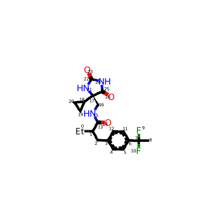 CCC(Cc1ccc(C(C)(F)F)cc1)C(=O)NC[C@@]1(C2CC2)NC(=O)NC1=O